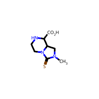 CN1CC2C(C(=O)O)NCCN2C1=S